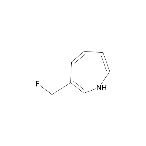 FCC1=CNC=CC=C1